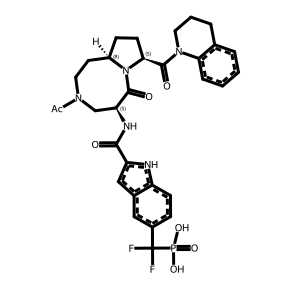 CC(=O)N1CC[C@H]2CC[C@@H](C(=O)N3CCCc4ccccc43)N2C(=O)[C@@H](NC(=O)c2cc3cc(C(F)(F)P(=O)(O)O)ccc3[nH]2)C1